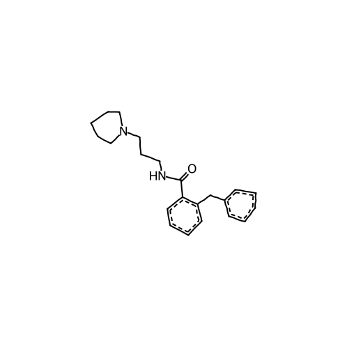 O=C(NCCCN1CCCCC1)c1ccccc1Cc1ccccc1